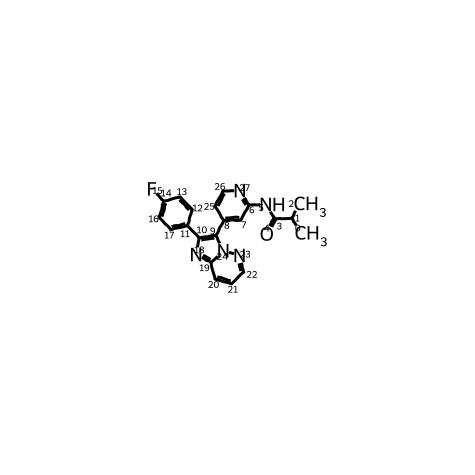 CC(C)C(=O)Nc1cc(-c2c(-c3ccc(F)cc3)nc3cccnn23)ccn1